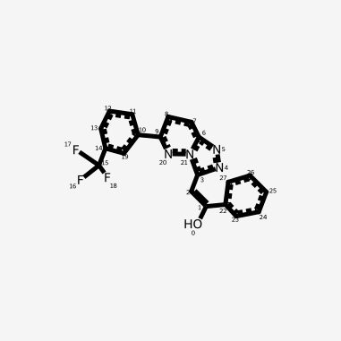 O/C(=C/c1nnc2ccc(-c3cccc(C(F)(F)F)c3)nn12)c1ccccc1